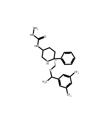 CC(OC[C@@]1(c2ccccc2)CCC(NC(=O)NN)CN1)c1cc(C(F)(F)F)cc(C(F)(F)F)c1